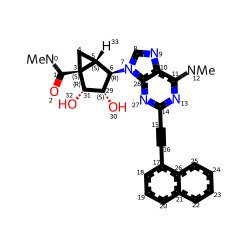 CNC(=O)[C@@]12C[C@@H]1[C@@H](n1cnc3c(NC)nc(C#Cc4cccc5ccccc45)nc31)[C@H](O)[C@@H]2O